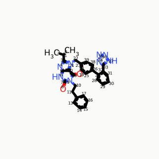 CC(C)c1nc2[nH]c(=O)n(CCc3ccccc3)c(=O)c2n1Cc1ccc(-c2ccccc2-c2nnn[nH]2)cc1